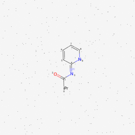 CC(C)C(=O)/N=C1\C=CC=C[N]1